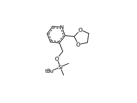 CC(C)(C)[Si](C)(C)OCc1cc[c]nc1C1OCCO1